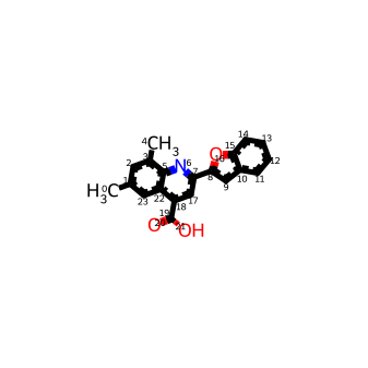 Cc1cc(C)c2nc(-c3cc4ccccc4o3)cc(C(=O)O)c2c1